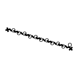 CC(C)(C)CCOCCOCCOCCOCCOCCOCCOCCOCCOCCOCCC(=O)C(C)(C)C